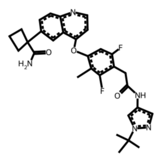 Cc1c(Oc2ccnc3ccc(C4(C(N)=O)CCC4)cc23)cc(F)c(CC(=O)Nc2cnn(C(C)(C)C)c2)c1F